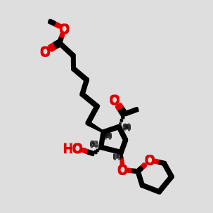 COC(=O)CCCCCC[C@@H]1[C@@H](CO)[C@H](OC2CCCCO2)C[C@H]1C(C)=O